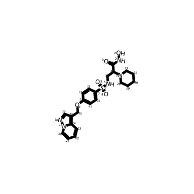 O=C(NO)C(CNS(=O)(=O)c1ccc(OCc2cnn3ccccc23)cc1)N1CCCCC1